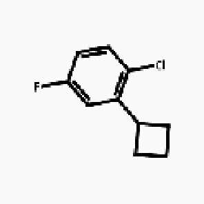 Fc1ccc(Cl)c(C2CCC2)c1